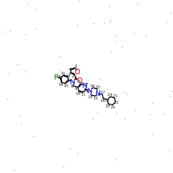 O=C(c1ccco1)N(Cc1ccc(N2CCN(CCC3CCCCC3)CC2)nc1)c1ccc(F)cc1